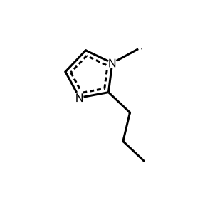 [CH2]n1ccnc1CCC